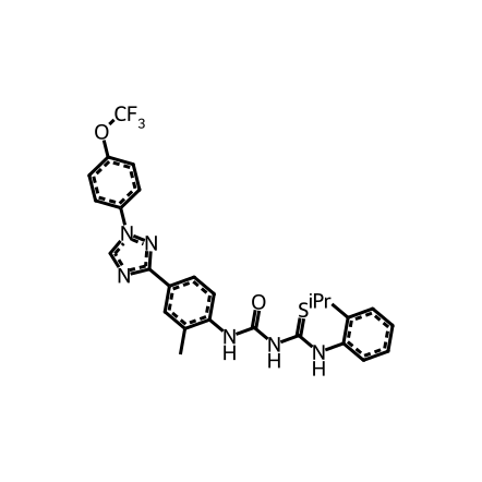 Cc1cc(-c2ncn(-c3ccc(OC(F)(F)F)cc3)n2)ccc1NC(=O)NC(=S)Nc1ccccc1C(C)C